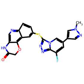 Cn1cc(-c2cc(F)c3nnc(Sc4ccc5ncc6c(c5c4)OCC(=O)N6)n3c2)cn1